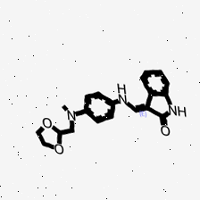 CN(CC1OCCO1)c1ccc(N/C=C2/C(=O)Nc3ccccc32)cc1